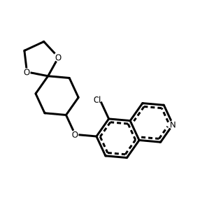 Clc1c(OC2CCC3(CC2)OCCO3)ccc2cnccc12